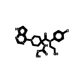 CC(C)(C)OC(=O)NC1(C(=O)N(CCO)c2ccc(Cl)cc2)CCN(c2ncnc3[nH]ccc23)CC1